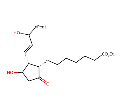 CCCCCC(O)/C=C/[C@H]1[C@H](O)CC(=O)[C@H]1CCCCCCC(=O)OCC